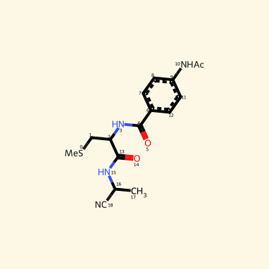 CSCC(NC(=O)c1ccc(NC(C)=O)cc1)C(=O)NC(C)C#N